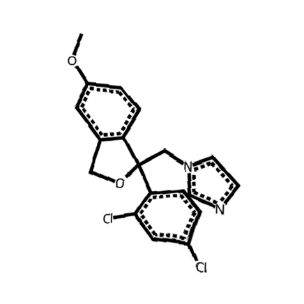 COc1ccc2c(c1)COC2(Cn1ccnc1)c1ccc(Cl)cc1Cl